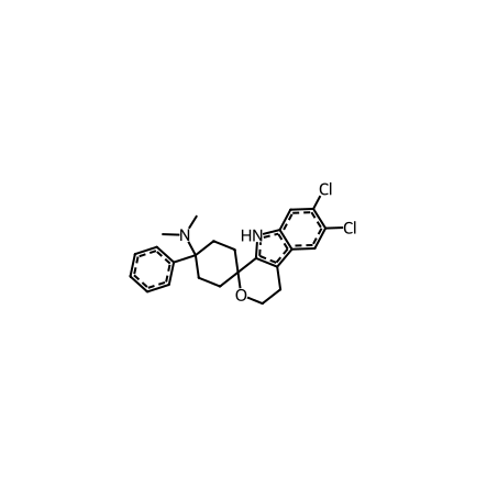 CN(C)C1(c2ccccc2)CCC2(CC1)OCCc1c2[nH]c2cc(Cl)c(Cl)cc12